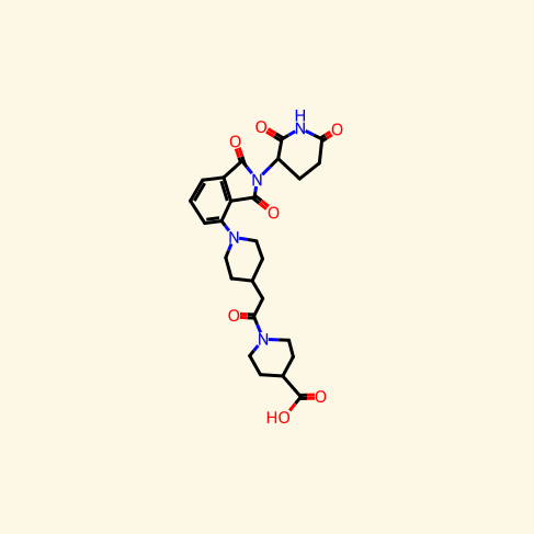 O=C1CCC(N2C(=O)c3cccc(N4CCC(CC(=O)N5CCC(C(=O)O)CC5)CC4)c3C2=O)C(=O)N1